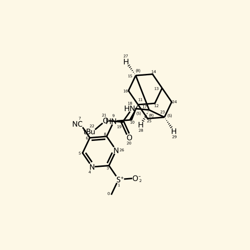 C[S+]([O-])c1ncc(C#N)c(NC[C@]23CC4C[C@H](C2)[C@H](NC(=O)OC(C)(C)C)[C@@H](C4)C3)n1